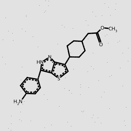 COC(=O)CC1CCC(c2csc3c(-c4ccc(N)cc4)[nH]nc23)CC1